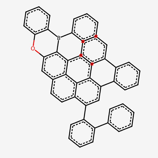 c1ccc(B2c3ccccc3Oc3cc4ccc5c(-c6ccccc6-c6ccccc6)cc(-c6ccccc6-c6ccccc6)c6ccc(c32)c4c56)cc1